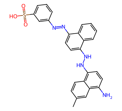 Cc1ccc2c(NNc3ccc(/N=N/c4cccc(S(=O)(=O)O)c4)c4ccccc34)ccc(N)c2c1